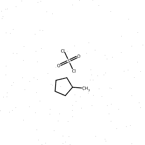 CC1CCCC1.O=S(=O)(Cl)Cl